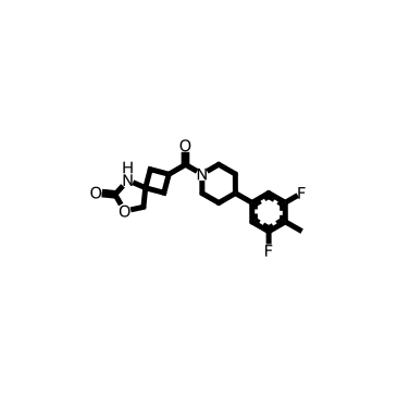 Cc1c(F)cc(C2CCN(C(=O)C3CC4(COC(=O)N4)C3)CC2)cc1F